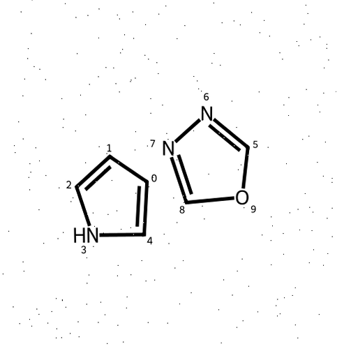 c1cc[nH]c1.c1nnco1